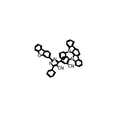 N#Cc1cc(-c2nc(-c3ccc4c(c3)oc3ccccc34)nc(-c3ccccc3)c2C#N)ccc1-n1c2ccccc2c2ccc3c4ccccc4n(-c4ccccc4)c3c21